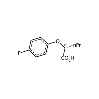 CCC[C@@H](Oc1ccc(F)cc1)C(=O)O